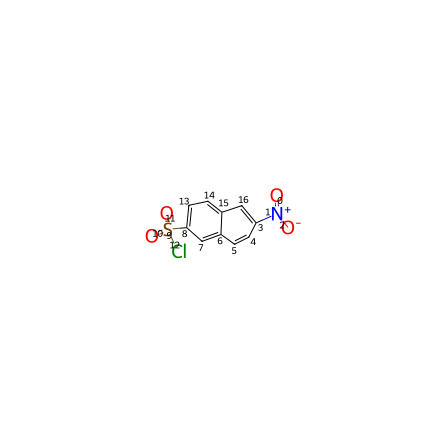 O=[N+]([O-])c1ccc2cc(S(=O)(=O)Cl)ccc2c1